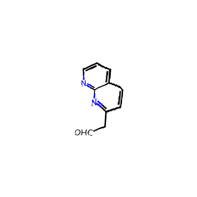 O=CCc1ccc2cccnc2n1